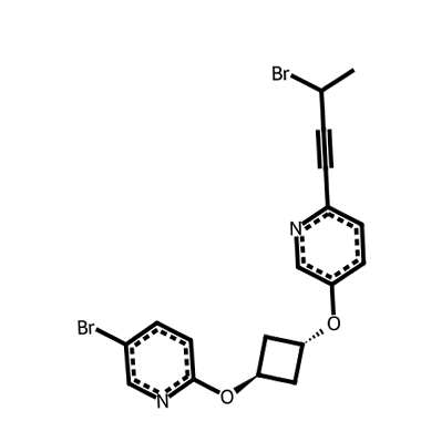 CC(Br)C#Cc1ccc(O[C@H]2C[C@H](Oc3ccc(Br)cn3)C2)cn1